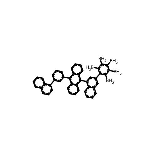 Bc1c(B)c(B)c(-c2cc(-c3c4ccccc4c(-c4cccc(-c5cccc6ccccc56)c4)c4ccccc34)c3ccccc3c2)c(B)c1B